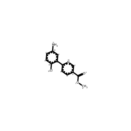 COC(=O)c1ccc(-c2cc(N)ccc2Cl)nc1